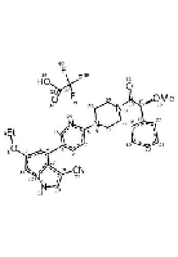 CCOc1cc(-c2ccc(N3CCN(C(=O)[C@@H](OC)c4ccccc4)CC3)nc2)c2c(C#N)cnn2c1.O=C(O)C(F)(F)F